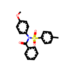 COc1ccc(N(C(=O)c2ccccc2)S(=O)(=O)c2ccc(C)cc2)cc1